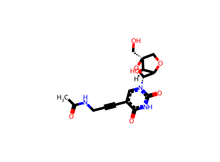 CC(=O)NCC#Cc1cn([C@@H]2O[C@@]3(CO)COC2[C@H]3O)c(=O)[nH]c1=O